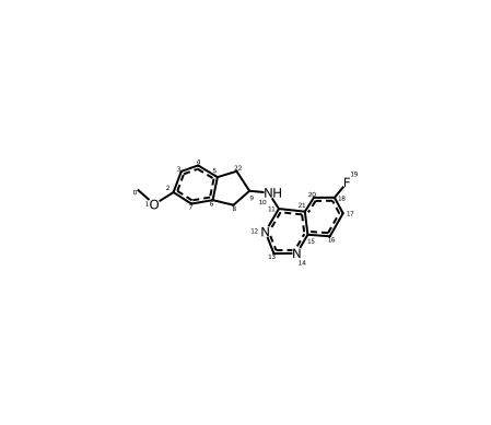 COc1ccc2c(c1)CC(Nc1ncnc3ccc(F)cc13)C2